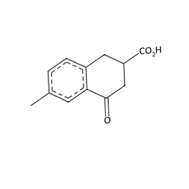 Cc1ccc2c(c1)C(=O)CC(C(=O)O)C2